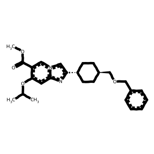 COC(=O)c1cn2cc([C@H]3CC[C@H](COCc4ccccc4)CC3)nc2cc1OC(C)C